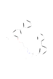 CC(C)(Cc1cccc(-c2ccccc2)c1)NC[C@H](O)COc1cc(-c2ccc(C(=O)O)cc2)ccc1C#N